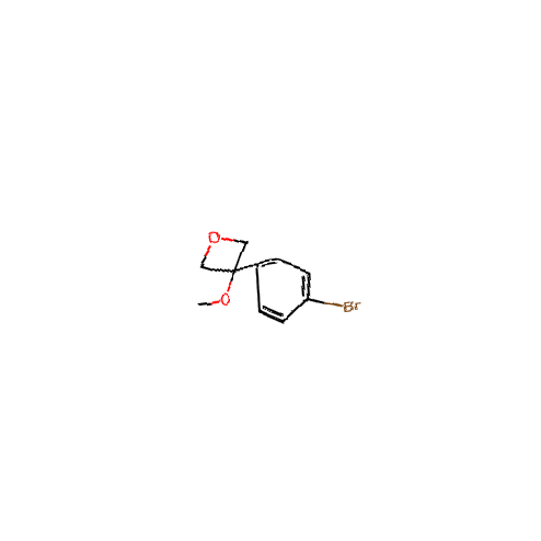 COC1(c2ccc(Br)cc2)COC1